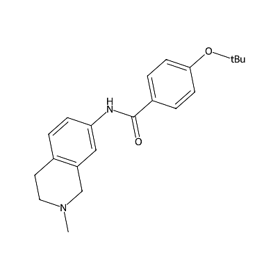 CN1CCc2ccc(NC(=O)c3ccc(OC(C)(C)C)cc3)cc2C1